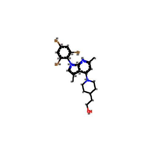 Cc1cc(N2CCC(CCO)CC2)c2c(C)cn(-c3c(Br)cc(Br)cc3Br)c2n1